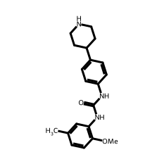 COc1ccc(C)cc1NC(=O)Nc1ccc(C2CCNCC2)cc1